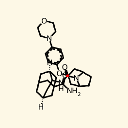 NC(=O)C12CC3C[C@H](C1)C(NC(=O)N1C4CCC1CC(Oc1ccc(N5CCOCC5)cc1)C4)[C@@H](C3)C2